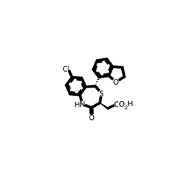 O=C(O)C[C@@H]1S[C@@H](c2cccc3c2OCC3)c2cc(Cl)ccc2NC1=O